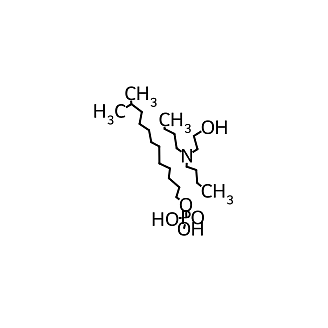 CC(C)CCCCCCCCCCOP(=O)(O)O.CCCCN(CCO)CCCC